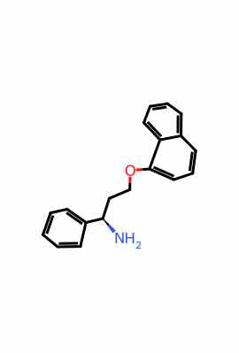 N[C@H](CCOc1cccc2ccccc12)c1ccccc1